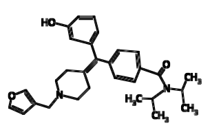 CC(C)N(C(=O)c1ccc(C(=C2CCN(Cc3ccoc3)CC2)c2cccc(O)c2)cc1)C(C)C